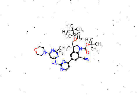 Cc1nc(Nc2nccc(-c3cc(C#N)c4c(c3)[C@@](C)(CO[Si](C)(C)C(C)(C)C)CN4C(=O)OC(C)(C)C)n2)cc(N2CCOCC2)n1